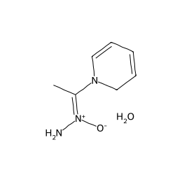 CC(N1C=CC=CC1)=[N+](N)[O-].O